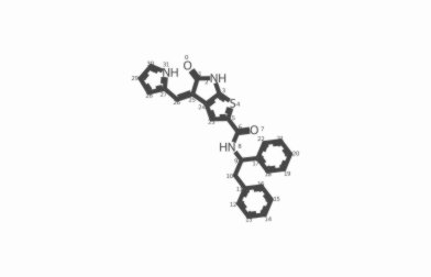 O=C1Nc2sc(C(=O)NC(Cc3ccccc3)c3ccccc3)cc2/C1=C/c1ccc[nH]1